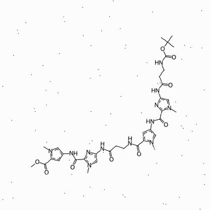 COC(=O)c1cc(NC(=O)c2nc(NC(=O)CCNC(=O)c3cc(NC(=O)c4nc(NC(=O)CCNC(=O)OC(C)(C)C)cn4C)cn3C)cn2C)cn1C